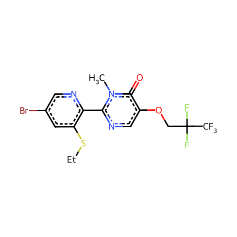 CCSc1cc(Br)cnc1-c1ncc(OCC(F)(F)C(F)(F)F)c(=O)n1C